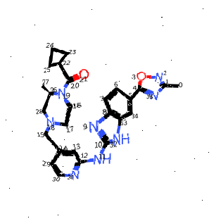 Cc1noc(-c2ccc3nc(Nc4cc(CN5CCN(C(=O)C6CCC6)[C@H](C)C5)ccn4)[nH]c3c2)n1